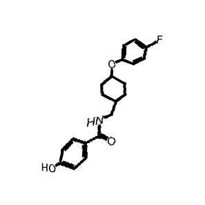 O=C(NCC1CCC(Oc2ccc(F)cc2)CC1)c1ccc(O)cc1